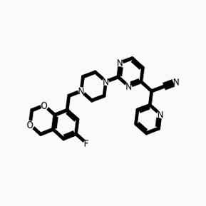 N#CC(c1ccccn1)c1ccnc(N2CCN(Cc3cc(F)cc4c3OCOC4)CC2)n1